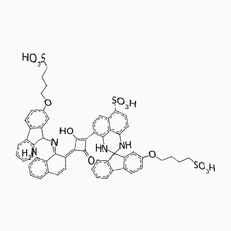 Nc1cccc2c1C(=N\C1c3ccccc3-c3ccc(OCCCCS(=O)(=O)O)cc31)/C(=C1/C(=O)C(c3ccc4c(S(=O)(=O)O)ccc5c4c3NC3(N5)c4ccccc4-c4ccc(OCCCCS(=O)(=O)O)cc43)=C1O)C=C2